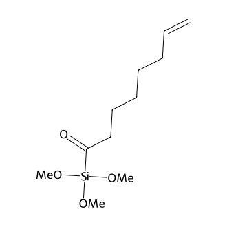 C=CCCCCCC(=O)[Si](OC)(OC)OC